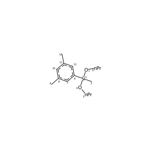 CCCO[Si](C)(OCCC)c1cc(C)cc(C)c1